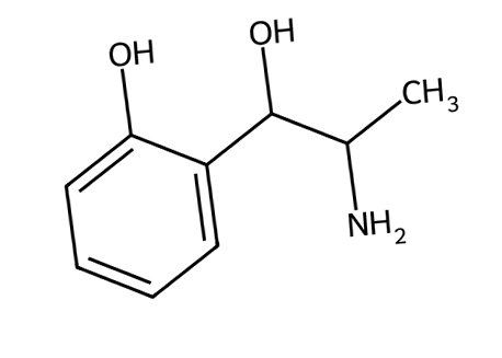 CC(N)C(O)c1ccccc1O